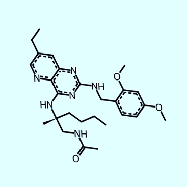 CCCC[C@](C)(CNC(C)=O)Nc1nc(NCc2ccc(OC)cc2OC)nc2cc(CC)cnc12